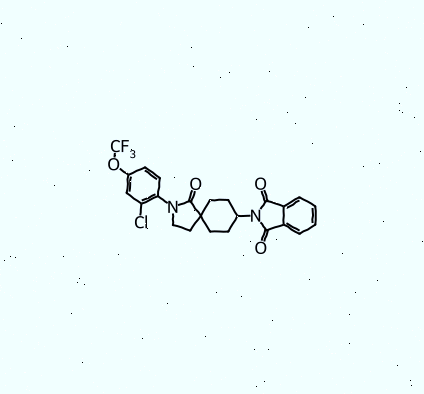 O=C1c2ccccc2C(=O)N1C1CCC2(CC1)CCN(c1ccc(OC(F)(F)F)cc1Cl)C2=O